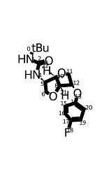 CC(C)(C)NC(=O)N[C@H]1CO[C@H]2[C@@H]1OC[C@@H]2Oc1ccc(F)cc1